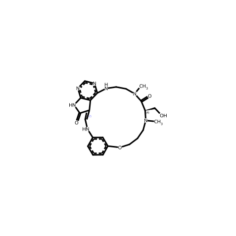 CN1CCNc2ncnc3c2/C(=C/Nc2cccc(c2)OCCCN(C)[C@H](CO)C1=O)C(=O)N3